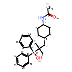 CC(C)(C[C@H]1CC[C@H](NC(=O)C(F)(F)F)CC1)[Si](O)(c1ccccc1)c1ccccc1